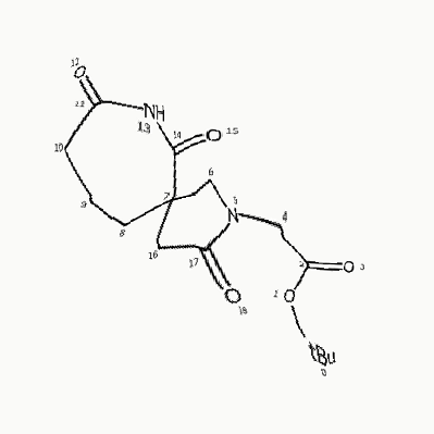 CC(C)(C)OC(=O)CN1CC2(CCCC(=O)NC2=O)CC1=O